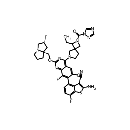 CCC1N(C(=O)n2cncn2)CC12CCN(c1nc(OC[C@@]34CCCN3C[C@H](F)C4)nc3c(F)c(-c4ccc(F)c5sc(N)c(C#N)c45)c(Cl)cc13)C2